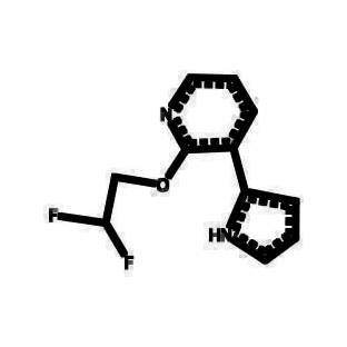 FC(F)COc1ncccc1-c1ccc[nH]1